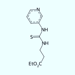 CCOC(=O)CCNC(=S)Nc1cccnc1